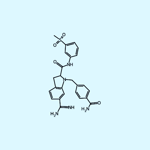 CS(=O)(=O)c1cccc(NC(=O)C2Cc3ccc(C(=N)N)cc3N2Cc2ccc(C(N)=O)cc2)c1